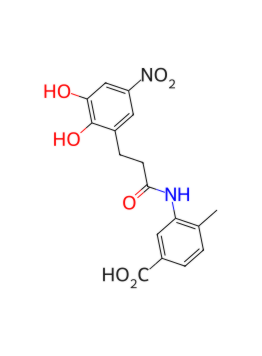 Cc1ccc(C(=O)O)cc1NC(=O)CCc1cc([N+](=O)[O-])cc(O)c1O